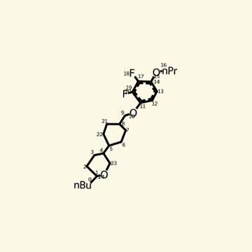 CCCCC1CCC(C2CCC(COc3ccc(OCCC)c(F)c3F)CC2)CO1